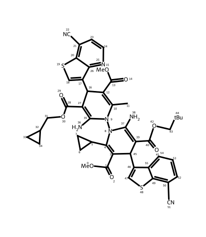 COC(=O)C1=C(C2CC2)N(N2C(C)=C(C(=O)OC)C(c3csc4c(C#N)ccnc34)C(C(=O)OCC3CC3)=C2N)C(N)=C(C(=O)OCC(C)(C)C)C1c1csc2c(C#N)cccc12